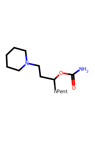 CCCCCC(CCN1CCCCC1)OC(N)=O